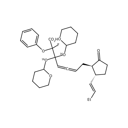 CC/C=C/[C@H]1CCC(=O)[C@@H]1CC=C=CC([16O]C1CCCCO1)([16O]C1CCCCO1)C(F)(Oc1ccccc1)C(=O)O